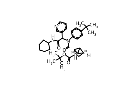 CC(C)(C)OC(=O)N1C[C@@H]2C3[C@@H]2[C@]31C(=O)N(c1ccc(C(C)(C)C)cc1)C(C(=O)NC1CCCCC1)c1cccnc1